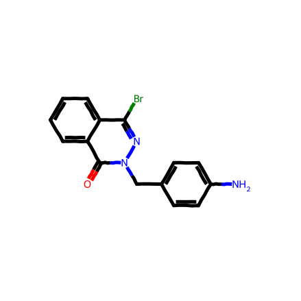 Nc1ccc(Cn2nc(Br)c3ccccc3c2=O)cc1